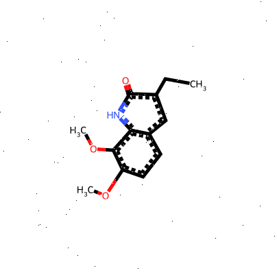 CCc1cc2ccc(OC)c(OC)c2[nH]c1=O